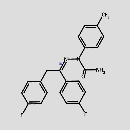 NC(=O)N(/N=C(/Cc1ccc(F)cc1)c1ccc(F)cc1)c1ccc(C(F)(F)F)cc1